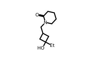 CCC1(O)CC(CN2CCCCC2=O)C1